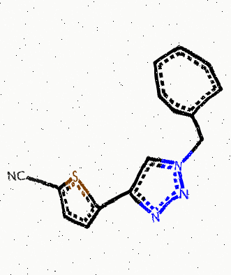 N#Cc1ccc(-c2cn(Cc3ccccc3)nn2)s1